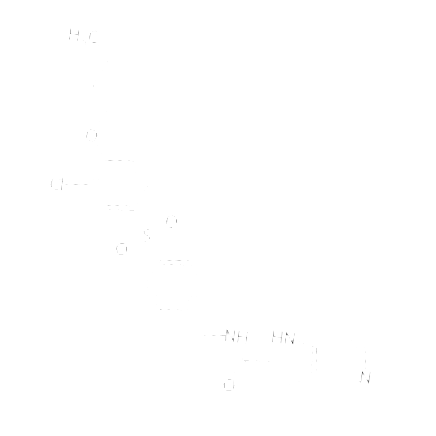 CCCCOc1ccc(S(=O)(=O)c2ccc(CNC(=O)c3cc4cnccc4[nH]3)cc2)cc1Cl